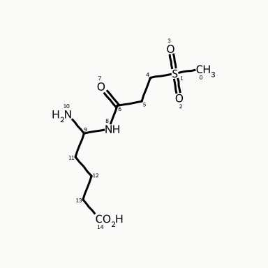 CS(=O)(=O)CCC(=O)NC(N)CCCC(=O)O